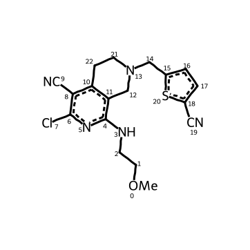 COCCNc1nc(Cl)c(C#N)c2c1CN(Cc1ccc(C#N)s1)CC2